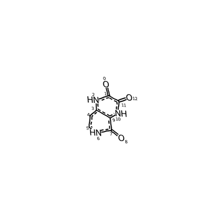 O=c1[nH]c2cc[nH]c(=O)c2[nH]c1=O